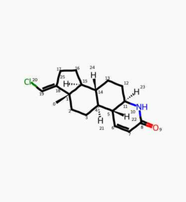 C[C@]12CC[C@@H]3[C@H]4C=CC(=O)N[C@@H]4CC[C@H]3[C@@H]1CC/C2=C\Cl